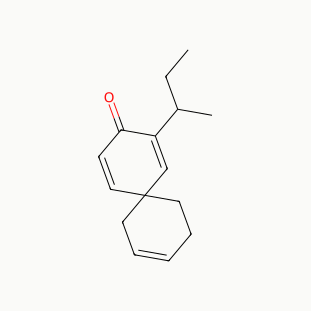 CCC(C)C1=CC2(C=CC1=O)CC=CCC2